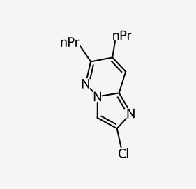 CCCc1cc2nc(Cl)cn2nc1CCC